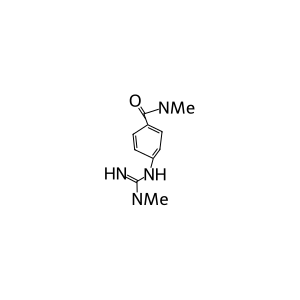 CNC(=N)Nc1ccc(C(=O)NC)cc1